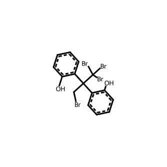 Oc1ccccc1C(CBr)(c1ccccc1O)C(Br)(Br)Br